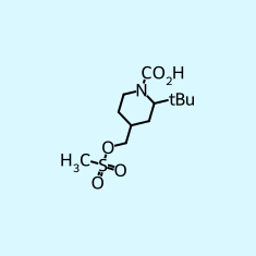 CC(C)(C)C1CC(COS(C)(=O)=O)CCN1C(=O)O